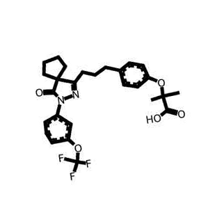 CC(C)(Oc1ccc(CCCC2=NN(c3cccc(OC(F)(F)F)c3)C(=O)C23CCCC3)cc1)C(=O)O